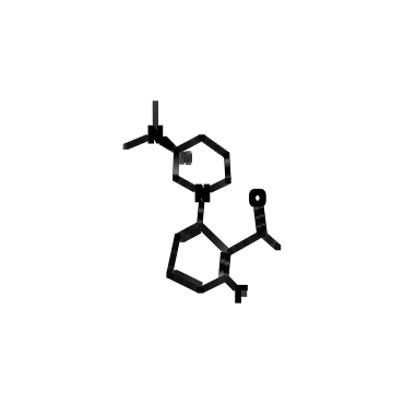 CC(=O)c1c(F)cccc1N1CCC[C@H](N(C)C)C1